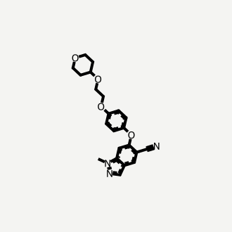 Cn1ncc2cc(C#N)c(Oc3ccc(OCCOC4CCOCC4)cc3)cc21